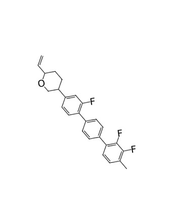 C=CC1CCC(c2ccc(-c3ccc(-c4ccc(C)c(F)c4F)cc3)c(F)c2)CO1